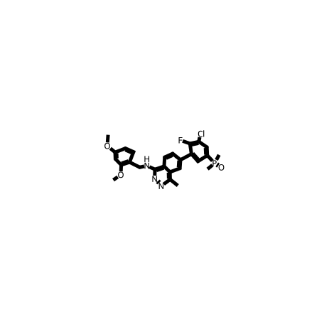 COc1ccc(CNc2nnc(C)c3cc(-c4cc(P(C)(C)=O)cc(Cl)c4F)ccc23)c(OC)c1